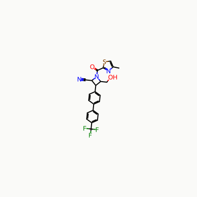 Cc1csc(C(=O)N2C(C#N)C(c3ccc(-c4ccc(C(F)(F)F)cc4)cc3)C2CO)n1